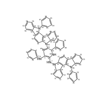 c1ccc(NC2=C(Nn3c4ccccc4c4c3ccc3c5ccccc5n(-c5ccccc5)c34)NC(c3ccccc3)C(n3c4ccccc4c4c3ccc3c5ccccc5n(-c5ccccc5)c34)=N2)cc1